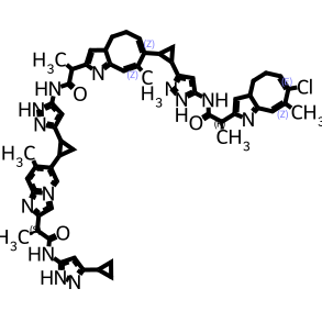 CC1=C/C2=NC(C(C)C(=O)Nc3cc(C4CC4c4cn5cc([C@H](C)C(=O)Nc6cc(C7CC7)n[nH]6)nc5cc4C)n[nH]3)=CC2CC/C=C\1C1CC1c1cc(NC(=O)[C@H](C)C2=CC3CC/C=C(Cl)\C(C)=C/C3=N2)[nH]n1